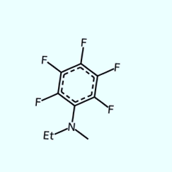 CCN(C)c1c(F)c(F)c(F)c(F)c1F